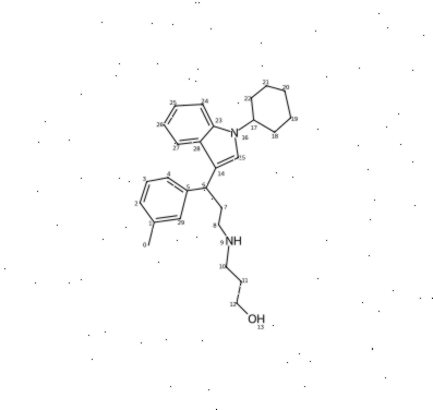 Cc1cccc(C(CCNCCCO)c2cn(C3CCCCC3)c3ccccc23)c1